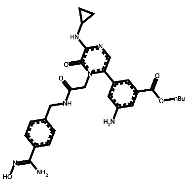 CCCCOC(=O)c1cc(N)cc(-c2cnc(NC3CC3)c(=O)n2CC(=O)NCc2ccc(/C(N)=N/O)cc2)c1